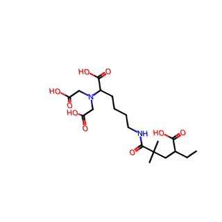 CCC(CC(C)(C)C(=O)NCCCCC(C(=O)O)N(CC(=O)O)CC(=O)O)C(=O)O